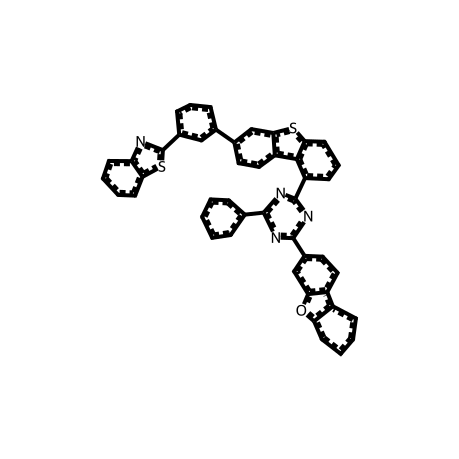 c1ccc(-c2nc(-c3ccc4c(c3)oc3ccccc34)nc(-c3cccc4sc5cc(-c6cccc(-c7nc8ccccc8s7)c6)ccc5c34)n2)cc1